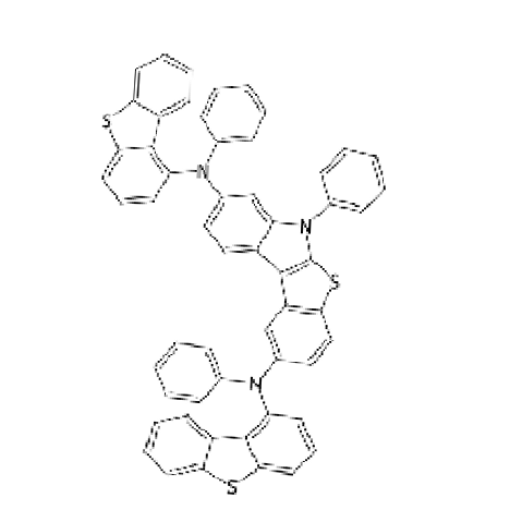 c1ccc(N(c2ccc3sc4c(c3c2)c2ccc(N(c3ccccc3)c3cccc5sc6ccccc6c35)cc2n4-c2ccccc2)c2cccc3sc4ccccc4c23)cc1